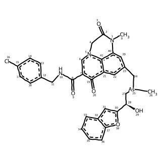 CN1C(=O)Cn2cc(C(=O)NCc3ccc(Cl)cc3)c(=O)c3cc(C[As](C)C[C@@H](O)c4cc5ccccc5o4)cc1c32